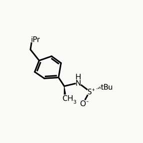 CC(C)Cc1ccc([C@H](C)N[S@@+]([O-])C(C)(C)C)cc1